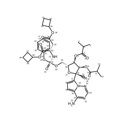 CC(C)C(=O)O[C@H]1[C@@H](OC(=O)C(C)C)[C@](C#N)(c2ccc3c(N)ncnn23)O[C@@H]1CO[P@](=O)(N[C@@H](CC(=O)OC1CCC1)C(=O)OC1CCC1)Oc1ccccc1